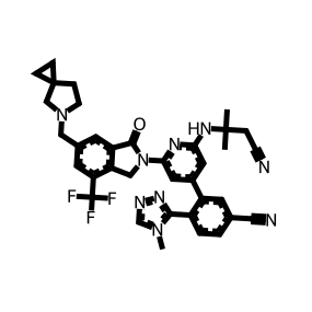 Cn1cnnc1-c1ccc(C#N)cc1-c1cc(NC(C)(C)CC#N)nc(N2Cc3c(cc(CN4CCC5(CC5)C4)cc3C(F)(F)F)C2=O)c1